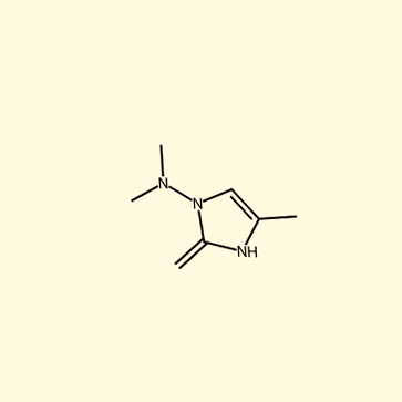 C=C1NC(C)=CN1N(C)C